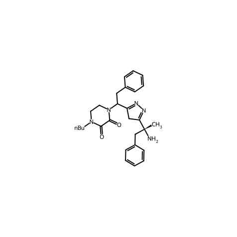 CCCCN1CCN(C(Cc2ccccc2)C2=NN=C([C@](C)(N)Cc3ccccc3)C2)C(=O)C1=O